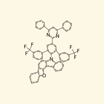 FC(F)(F)c1cccc(-c2cc(-c3nc(-c4ccccc4)cc(-c4ccccc4)n3)cc(-c3cccc(C(F)(F)F)c3)c2-n2c3ccccc3c3c4oc5ccccc5c4ccc32)c1